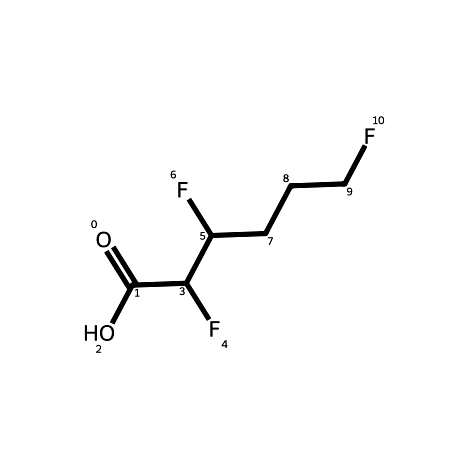 O=C(O)C(F)C(F)CCCF